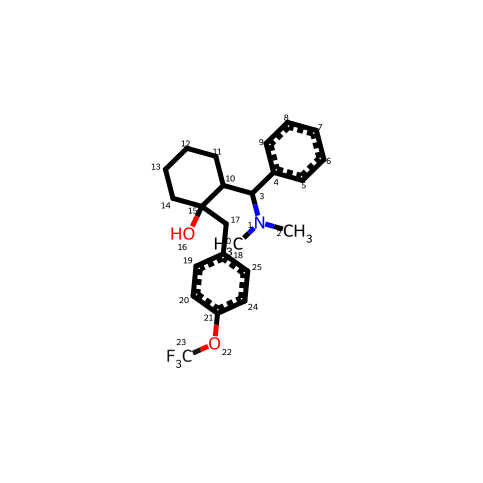 CN(C)C(c1ccccc1)C1CCCCC1(O)Cc1ccc(OC(F)(F)F)cc1